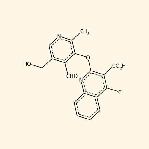 Cc1ncc(CO)c(C=O)c1Oc1nc2ccccc2c(Cl)c1C(=O)O